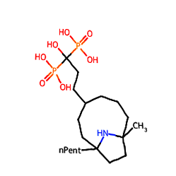 CCCCCC12CCC(CCC(O)(P(=O)(O)O)P(=O)(O)O)CCCC(C)(CC1)N2